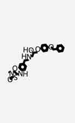 CN1C(=O)SC(Nc2ccc(CCNC[C@H](O)COc3ccc(OCc4ccccc4)cc3)cc2)C1=O